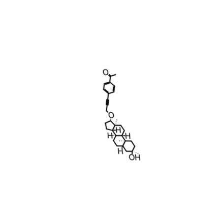 CC(=O)c1ccc(C#CCO[C@H]2CC[C@H]3[C@@H]4CC[C@H]5C[C@](C)(O)CC[C@]5(C)[C@H]4CC[C@]23C)cc1